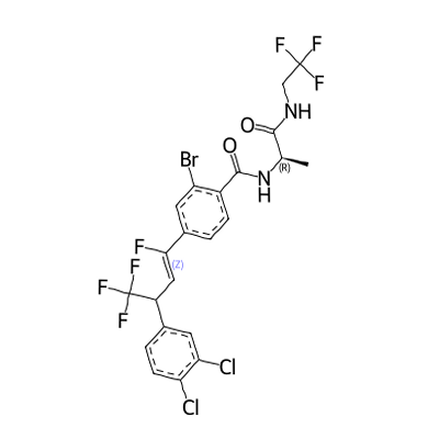 C[C@@H](NC(=O)c1ccc(/C(F)=C/C(c2ccc(Cl)c(Cl)c2)C(F)(F)F)cc1Br)C(=O)NCC(F)(F)F